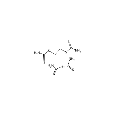 NC(=S)SCCSC(N)=S.N[C](=S)[Zn][C](N)=S